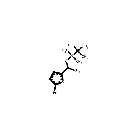 CC(O[Si](C)(C)C(C)(C)C)c1ccc(Br)s1